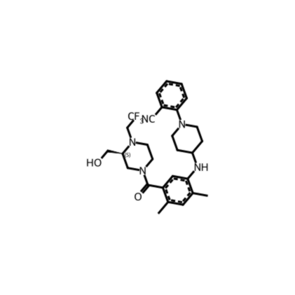 Cc1cc(C)c(C(=O)N2CCN(CC(F)(F)F)[C@H](CO)C2)cc1NC1CCN(c2ccccc2C#N)CC1